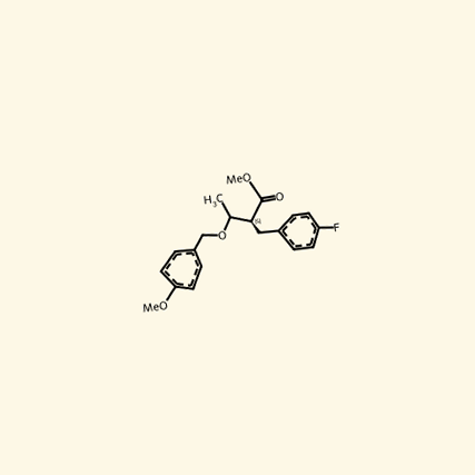 COC(=O)[C@@H](Cc1ccc(F)cc1)C(C)OCc1ccc(OC)cc1